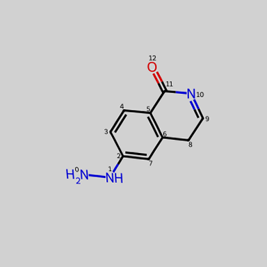 NNc1ccc2c(c1)CC=NC2=O